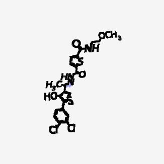 COCCNC(=O)c1ccc(C(=O)N/N=C(\C)c2csc(-c3ccc(Cl)c(Cl)c3)c2O)s1